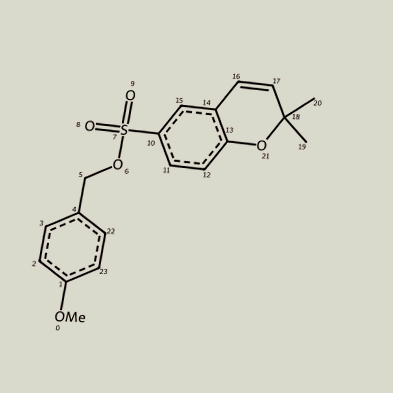 COc1ccc(COS(=O)(=O)c2ccc3c(c2)C=CC(C)(C)O3)cc1